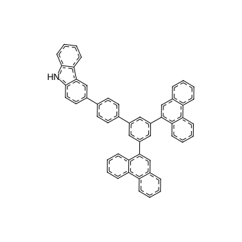 c1ccc2c(c1)cc(-c1cc(-c3ccc(-c4ccc5[nH]c6ccccc6c5c4)cc3)cc(-c3cc4ccccc4c4ccccc34)c1)c1ccccc12